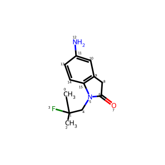 CC(C)(F)CN1C(=O)Cc2cc(N)ccc21